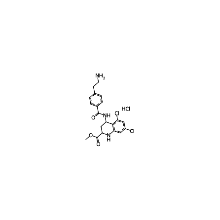 COC(=O)C1CC(NC(=O)c2ccc(CCN)cc2)c2c(Cl)cc(Cl)cc2N1.Cl